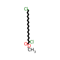 CCOC(=O)C(Cl)CCCCCCCCCCCCCCCCCl